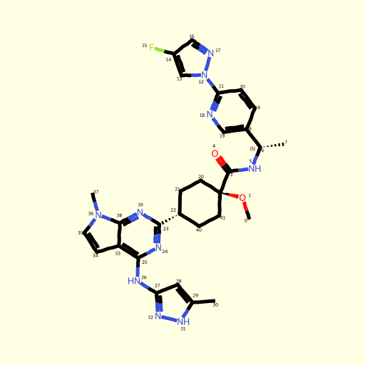 CO[C@]1(C(=O)N[C@@H](C)c2ccc(-n3cc(F)cn3)nc2)CC[C@@H](c2nc(Nc3cc(C)[nH]n3)c3ccn(C)c3n2)CC1